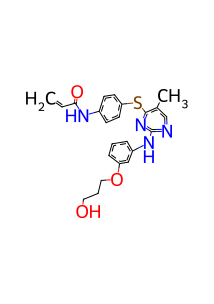 C=CC(=O)Nc1ccc(Sc2nc(Nc3cccc(OCCCO)c3)ncc2C)cc1